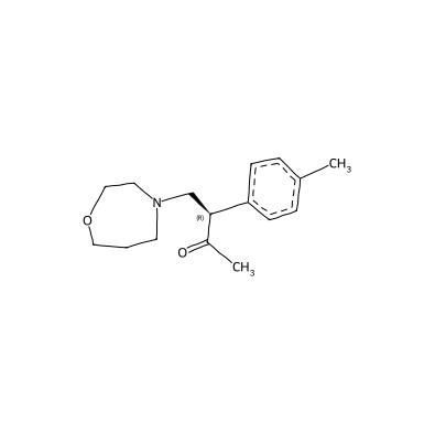 CC(=O)[C@@H](CN1CCCOCC1)c1ccc(C)cc1